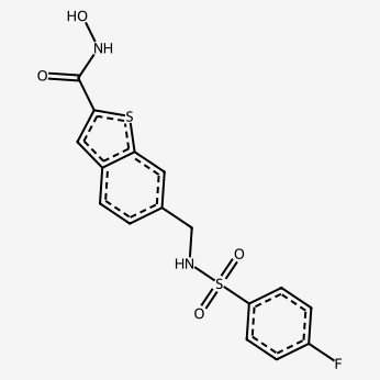 O=C(NO)c1cc2ccc(CNS(=O)(=O)c3ccc(F)cc3)cc2s1